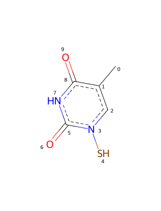 Cc1cn(S)c(=O)[nH]c1=O